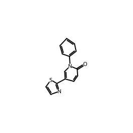 O=c1ccc(-c2nccs2)cn1-c1ccccc1